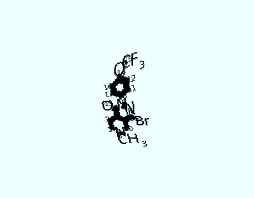 CN1CCc2c(c(Br)nn(-c3ccc(OC(F)(F)F)cc3)c2=O)C1